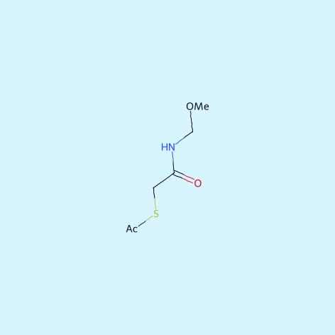 COCNC(=O)CSC(C)=O